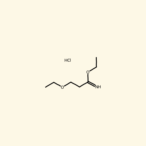 CCOCCC(=N)OCC.Cl